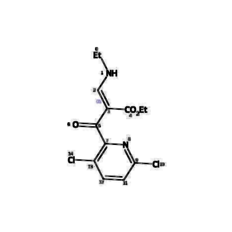 CCN/C=C(\C(=O)OCC)C(=O)c1nc(Cl)ccc1Cl